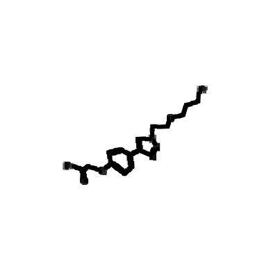 CC(C)CCCOCCn1cc(-c2ccc(OCC(=O)C(C)C)cc2)nn1